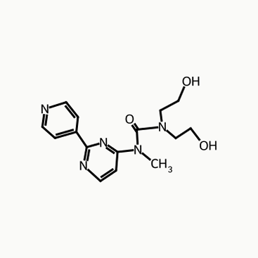 CN(C(=O)N(CCO)CCO)c1ccnc(-c2ccncc2)n1